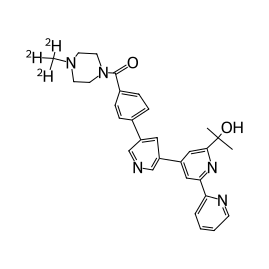 [2H]C([2H])([2H])N1CCN(C(=O)c2ccc(-c3cncc(-c4cc(-c5ccccn5)nc(C(C)(C)O)c4)c3)cc2)CC1